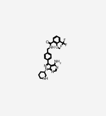 COc1c(C(=O)NCc2ccc(-c3nn([C@@H]4CCCNC4)c4ncnc(N)c34)cc2)cccc1C(F)(F)F